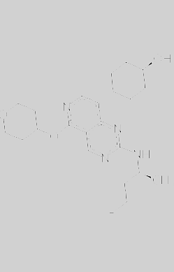 C[C@@H](CCF)Nc1ncc2c(OC3CCOCC3)ncc([C@H]3CC[C@H](O)CC3)c2n1